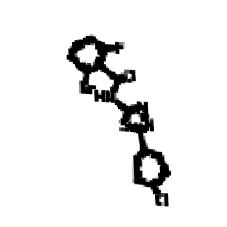 O=C(Nc1nnc(-c2ccc(Cl)cc2)s1)c1c(F)cccc1Br